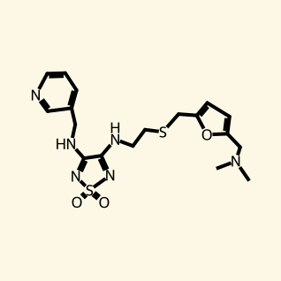 CN(C)Cc1ccc(CSCCNC2=NS(=O)(=O)N=C2NCc2cccnc2)o1